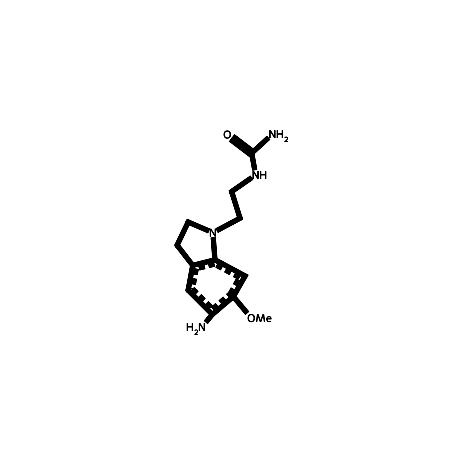 COc1cc2c(cc1N)CCN2CCNC(N)=O